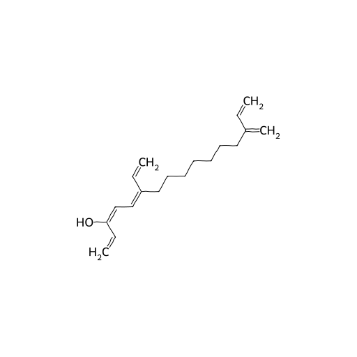 C=CC(=C)CCCCCCC/C(C=C)=C/C=C(/O)C=C